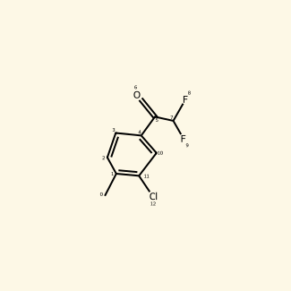 Cc1ccc(C(=O)C(F)F)cc1Cl